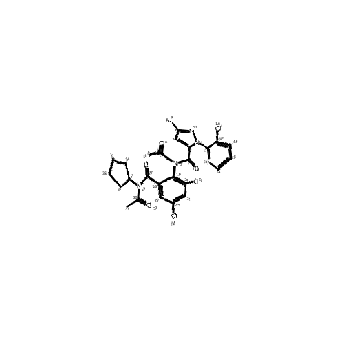 CC(=O)N(C(=O)c1cc(Br)nn1-c1ncccc1Cl)c1c(Cl)cc(Cl)cc1C(=O)N(C(C)=O)C1CCCC1